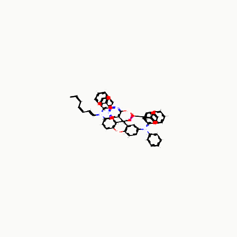 C\C=C/C=C\C=C\N(c1ccccc1)c1ccc2c(c1)C1(c3cc(N(c4ccccc4)c4ccccc4)ccc3O2)c2cnc(-c3ccccc3)nc2Oc2nc(-c3ccccc3)ncc21